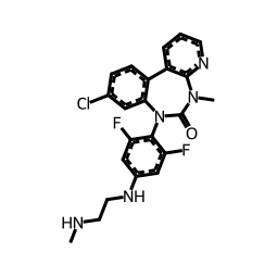 CNCCNc1cc(F)c(N2C(=O)N(C)c3ncccc3-c3ccc(Cl)cc32)c(F)c1